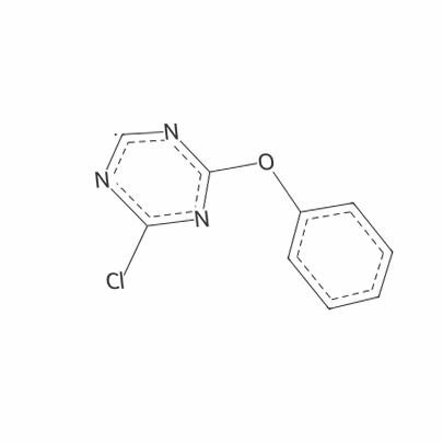 Clc1n[c]nc(Oc2ccccc2)n1